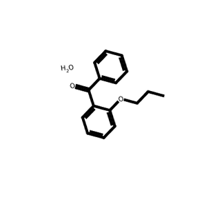 CCCOc1ccccc1C(=O)c1ccccc1.O